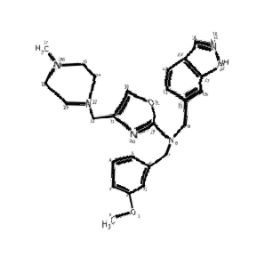 COc1cccc(CN(Cc2ccc3cn[nH]c3c2)c2nc(CN3CCN(C)CC3)co2)c1